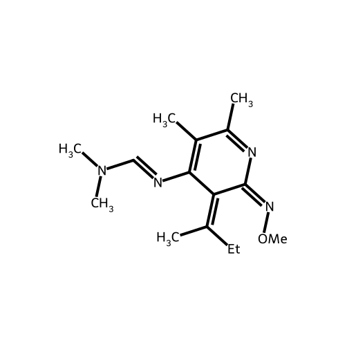 CC/C(C)=C1/C(/N=C/N(C)C)=C(C)C(C)=N/C1=N/OC